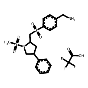 CS(=O)(=O)N1CC(c2ccccc2)CC1CS(=O)(=O)c1ccc(CN)cc1.O=C(O)C(F)(F)F